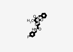 Cc1c(=O)n(Cc2ccccc2)c(=O)n2cc(C(=O)NCc3ccc(F)cc3)sc12